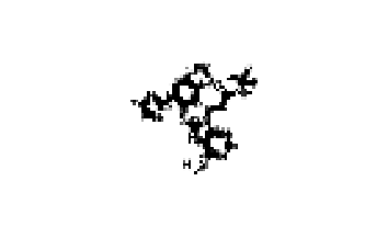 CC(C)(C)NC(=O)CCn1c(Sc2cc3c(cc2-c2nccs2)OCO3)nc2c(N)ncnc21